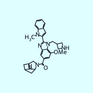 COc1cc(C(=O)N2CC3CC4CC2[C@H]43)cc2nc(-c3cc4ccccc4n3C)n(CC3CNC3)c12